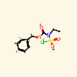 CCN(C(=O)OCc1ccccc1)S(=O)(=O)Cl